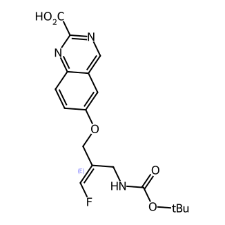 CC(C)(C)OC(=O)NC/C(=C\F)COc1ccc2nc(C(=O)O)ncc2c1